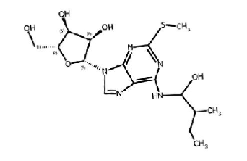 CCC(C)C(O)Nc1nc(SC)nc2c1ncn2[C@@H]1O[C@H](CO)[C@@H](O)[C@H]1O